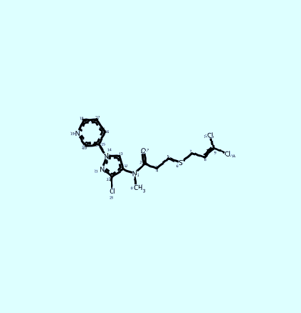 CN(C(=O)CCSCC=C(Cl)Cl)c1cn(-c2cccnc2)nc1Cl